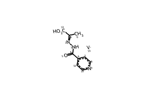 CC(=NNC(=O)c1ccncc1)C(=O)O.[V]